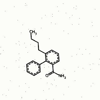 CCCCc1cccc(C(N)=O)c1-c1ccccc1